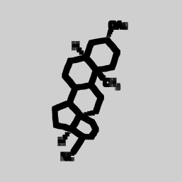 CC(=O)O[C@@H]1CC[C@]2(C)C3CC[C@]45CCCC(C#N)[C@H]4CCC5C3CC[C@H]2C1